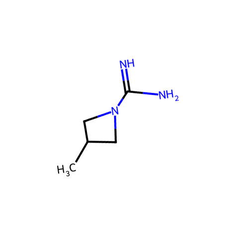 CC1CN(C(=N)N)C1